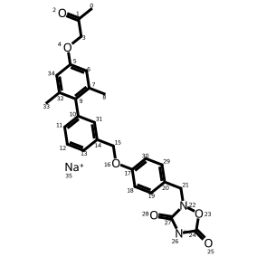 CC(=O)COc1cc(C)c(-c2cccc(COc3ccc(Cn4oc(=O)[n-]c4=O)cc3)c2)c(C)c1.[Na+]